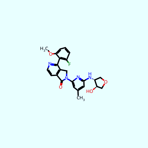 COc1cccc(F)c1-c1nccc2c1CN(c1cc(C)cc(N[C@@H]3COC[C@H]3O)n1)C2=O